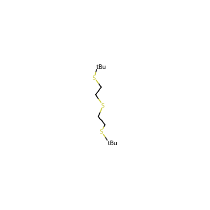 CC(C)(C)SCCSCCSC(C)(C)C